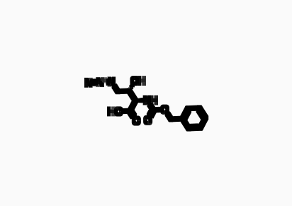 [N-]=[N+]=NC[C@H](O)[C@@H](NC(=O)OCc1ccccc1)C(=O)O